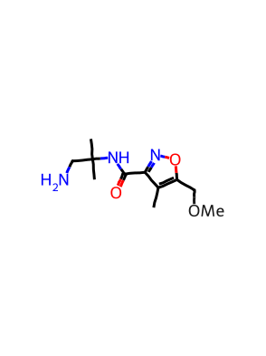 COCc1onc(C(=O)NC(C)(C)CN)c1C